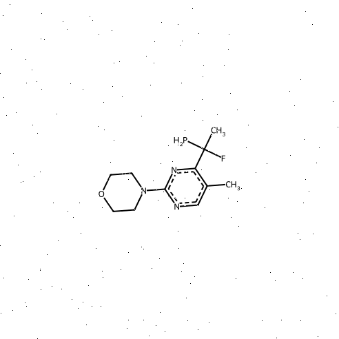 Cc1cnc(N2CCOCC2)nc1C(C)(F)P